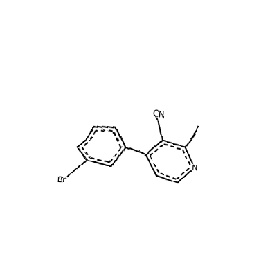 Cc1nccc(-c2cccc(Br)c2)c1C#N